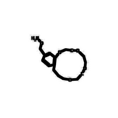 NOCc1ccc2c(c1)OCCOCCOCCOCCC2